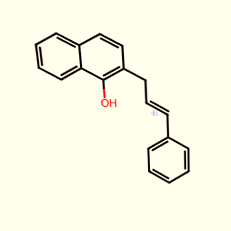 Oc1c(C/C=C/c2ccccc2)ccc2ccccc12